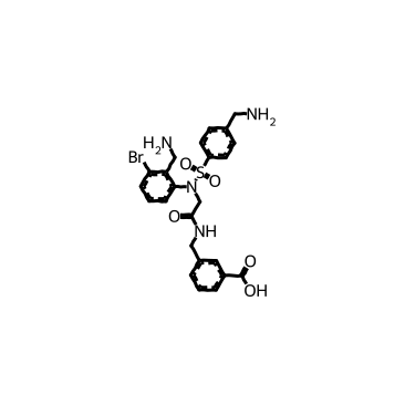 NCc1ccc(S(=O)(=O)N(CC(=O)NCc2cccc(C(=O)O)c2)c2cccc(Br)c2CN)cc1